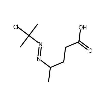 CC(CCC(=O)O)N=NC(C)(C)Cl